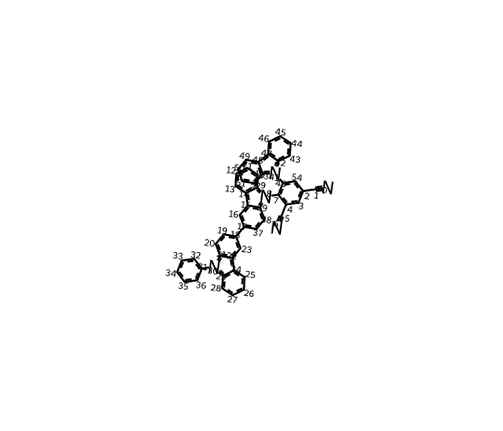 N#Cc1cc(C#N)c(-n2c3ccccc3c3cc(-c4ccc5c(c4)c4ccccc4n5-c4ccccc4)ccc32)c(-n2c3ccccc3c3ccccc32)c1